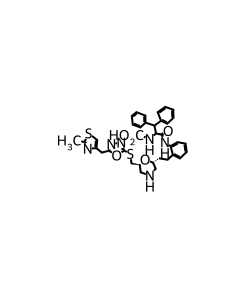 Cc1nc(Cc2nnc(SC[C@@H]3CNC[C@@H](CCc4ccccc4NC(=O)C(NC(=O)O)C(c4ccccc4)c4ccccc4)O3)o2)cs1